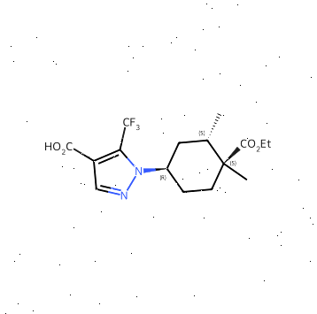 CCOC(=O)[C@@]1(C)CC[C@@H](n2ncc(C(=O)O)c2C(F)(F)F)C[C@@H]1C